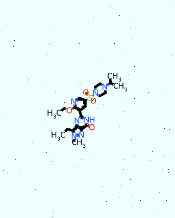 CCOc1ncc(S(=O)(=O)N2CCN(C(C)C)CC2)cc1-c1nc2c(CC)n(C)nc2c(=O)[nH]1